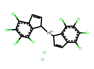 Clc1c(Cl)c(Cl)c2c(c1Cl)C=C[CH]2[Hf+2][CH]1C=Cc2c(Cl)c(Cl)c(Cl)c(Cl)c21.[Cl-].[Cl-]